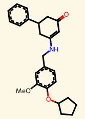 COc1cc(CNC2=CC(=O)CC(c3ccccc3)C2)ccc1OC1CCCC1